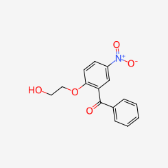 O=C(c1ccccc1)c1cc([N+](=O)[O-])ccc1OCCO